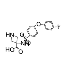 O=C(O)C1(NS(=O)(=O)c2ccc(Oc3ccc(F)cc3)cc2)CNC1